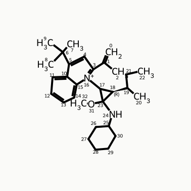 C=C(C)c1cc(C(C)(C)C)c2ccccc2[n+]1C1[C@@H](C(C)CC)C1(NC1CCCCC1)OC